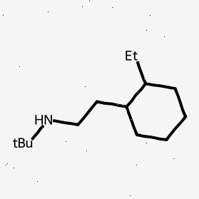 CCC1CCCCC1CCNC(C)(C)C